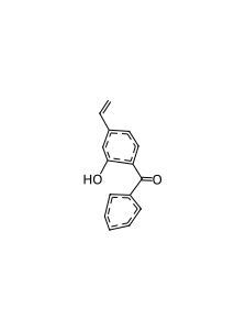 C=Cc1ccc(C(=O)c2ccccc2)c(O)c1